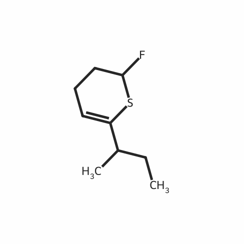 CCC(C)C1=CCCC(F)S1